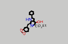 CCOC(=O)c1nc(Cc2ccc3c(c2)OCO3)c2[nH]c(-c3ccccc3)cc2c1O